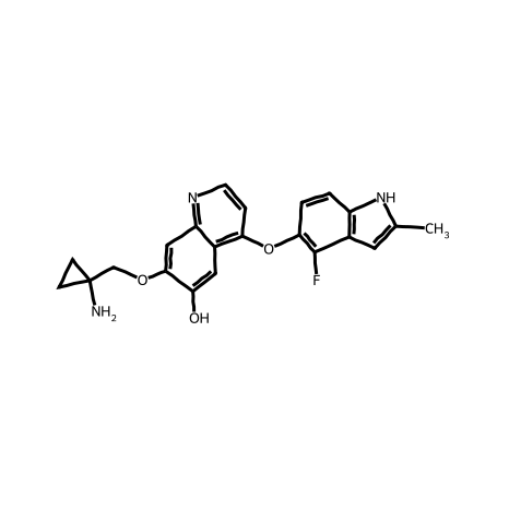 Cc1cc2c(F)c(Oc3ccnc4cc(OCC5(N)CC5)c(O)cc34)ccc2[nH]1